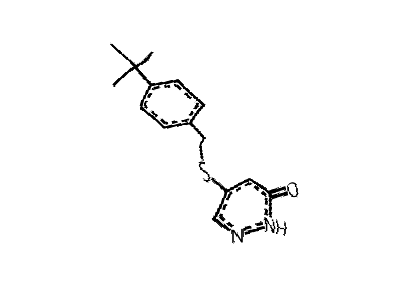 CC(C)(C)c1ccc(CSc2cn[nH]c(=O)c2)cc1